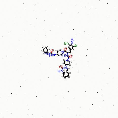 Nc1c(Br)cc(C[C@@H](NC(=O)N2CCC(N3Cc4ccccc4NC3=O)CC2)C(=O)N2CCC(NC(=O)Nc3ccccc3)CC2)cc1Br